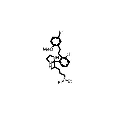 CCN(CC)CCCC(C)C1(c2cccc(Cl)c2CCc2cc(Br)ccc2OC)NCCN1